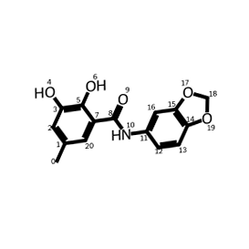 Cc1cc(O)c(O)c(C(=O)Nc2ccc3c(c2)OCO3)c1